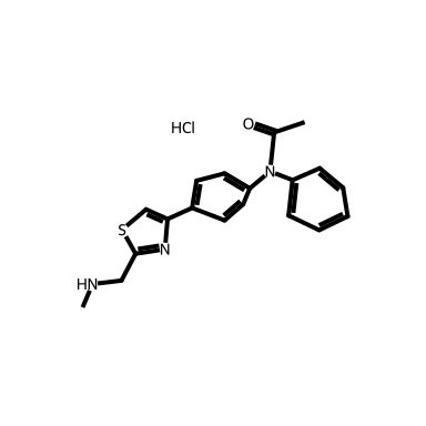 CNCc1nc(-c2ccc(N(C(C)=O)c3ccccc3)cc2)cs1.Cl